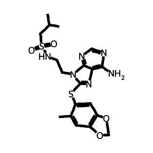 Cc1cc2c(cc1Sc1nc3c(N)ncnc3n1CCNS(=O)(=O)CC(C)C)OCO2